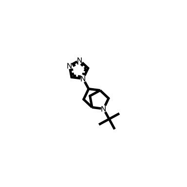 CC(C)(C)N1CC2CC1CC2n1cnnc1